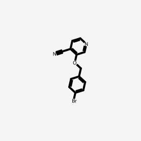 N#Cc1ccncc1OCc1ccc(Br)cc1